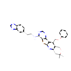 CC1(C)Cc2nc3sc4c(NCCc5ccc6[nH]cnc6c5)ncnc4c3c(COc3ccccc3)c2CO1